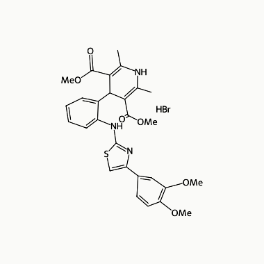 Br.COC(=O)C1=C(C)NC(C)=C(C(=O)OC)C1c1ccccc1Nc1nc(-c2ccc(OC)c(OC)c2)cs1